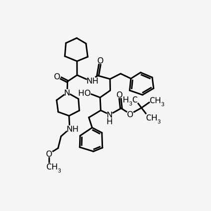 COCCNC1CCN(C(=O)C(NC(=O)C(Cc2ccccc2)CC(O)C(Cc2ccccc2)NC(=O)OC(C)(C)C)C2CCCCC2)CC1